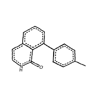 Cc1ccc(-c2cccc3cc[nH]c(=O)c23)cc1